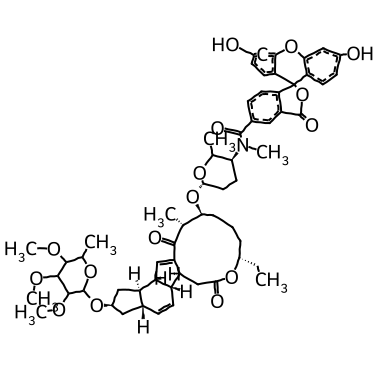 CC[C@H]1CCC[C@H](O[C@H]2CC[C@H](N(C)C(=O)c3ccc4c(c3)C(=O)OC43c4ccc(O)cc4Oc4cc(O)ccc43)C(C)O2)[C@@H](C)C(=O)C2=C[C@@H]3[C@@H](C=C[C@@H]4C[C@@H](OC5OC(C)C(OC)C(OC)C5OC)C[C@@H]34)[C@@H]2CC(=O)O1